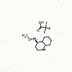 CO/N=C1\CCNC2CCCCC12.O=C(O)C(F)(F)F